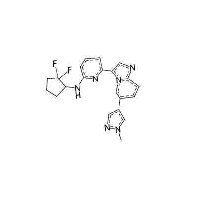 Cn1cc(-c2ccc3ncc(-c4cccc(NC5CCCC5(F)F)n4)n3c2)cn1